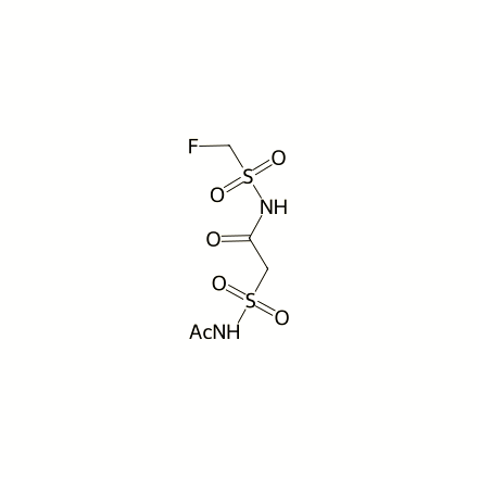 CC(=O)NS(=O)(=O)CC(=O)NS(=O)(=O)CF